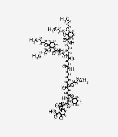 CCCCOc1cccc(C(=O)NCCCCN(CCCNC(=O)c2cccc(OCCCC)c2OCCCC)C(=O)CCC(=O)NCCCCCN(OCCCC)C(=O)CCC(=O)N[C@@H](C(=O)NC2C(=O)N3C(C(=O)O)=C(Cl)CCC23)c2ccccc2)c1OCCCC